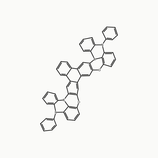 c1ccc(N2c3ccccc3B3c4cc5c6ccccc6c6cc7c(cc6c5cc4Oc4cccc2c43)Oc2cccc3c2B7c2ccccc2N3c2ccccc2)cc1